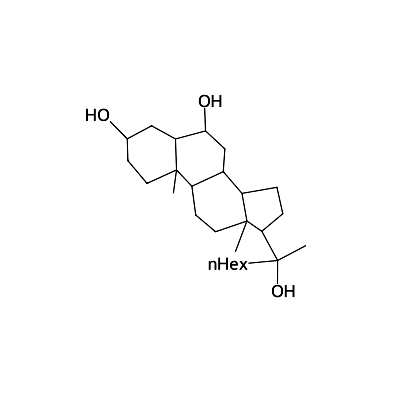 CCCCCCC(C)(O)C1CCC2C3CC(O)C4CC(O)CCC4(C)C3CCC21C